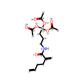 C=CCCC(=C)C(=O)NCCC[Si](OC(C)=O)(OC(C)=O)OC(C)=O